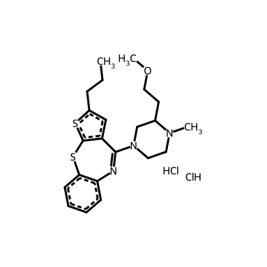 CCCc1cc2c(s1)Sc1ccccc1N=C2N1CCN(C)C(CCOC)C1.Cl.Cl